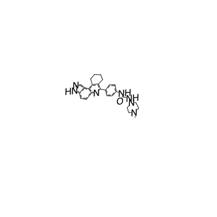 CN1CCN(NC(=O)Nc2ccc(-c3nc4ccc5[nH]ncc5c4c4c3CCCC4)cc2)CC1